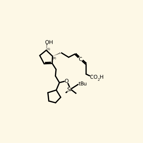 CC(C)(C)[Si](C)(C)OC(CCC1=CC[C@H](O)[C@@H]1CCC=C=CCC(=O)O)C1CCCC1